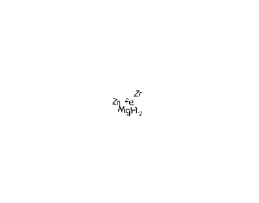 [Fe].[MgH2].[Zn].[Zr]